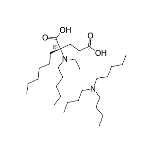 CCCCCC[C@](CCC(=O)O)(C(=O)O)N(CC)CCCCC.CCCCCN(CCCC)CCCC